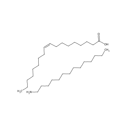 CCCCCCCC/C=C\CCCCCCCC(=O)O.CCCCCCCCCCCCCCN